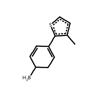 BC1C=CC(c2sccc2C)=CC1